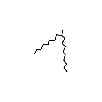 [CH2]C(CCCCCCCC)CCCCCCCCC